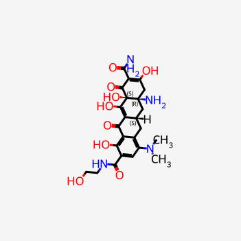 CN(C)c1cc(C(=O)NCCO)c(O)c2c1C[C@H]1C[C@@]3(N)CC(O)=C(C(N)=O)C(=O)[C@@]3(O)C(O)=C1C2=O